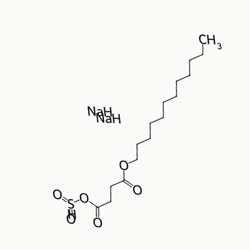 CCCCCCCCCCCCOC(=O)CCC(=O)O[SH](=O)=O.[NaH].[NaH]